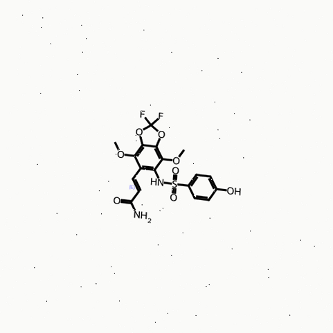 COc1c(/C=C/C(N)=O)c(NS(=O)(=O)c2ccc(O)cc2)c(OC)c2c1OC(F)(F)O2